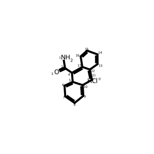 Cl.NC(=O)c1c2ccccc2cc2ccccc12